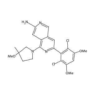 COc1cc(OC)c(Cl)c(-c2cc3cnc(N)cc3c(N3CCC(C)(OC)C3)n2)c1Cl